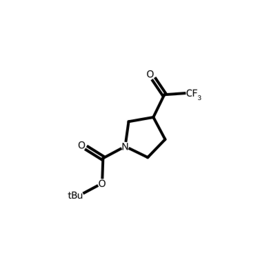 CC(C)(C)OC(=O)N1CCC(C(=O)C(F)(F)F)C1